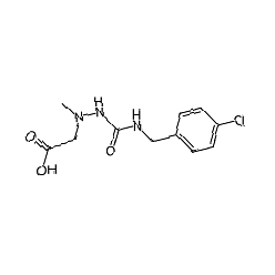 CN(CC(=O)O)NC(=O)NCc1ccc(Cl)cc1